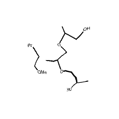 CC(O)COC(C)COC(C)CO.COCCC(C)C